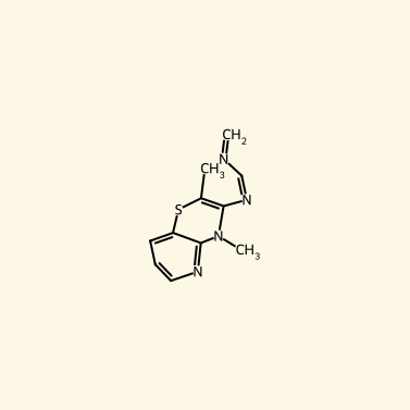 C=N/C=N\C1=C(C)Sc2cccnc2N1C